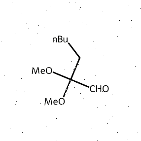 CCCCCC(C=O)(OC)OC